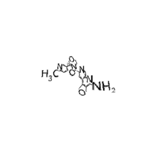 Cc1ccc([C@H]2COCCN2C(=O)c2cc3c4c(c(N)nc3cn2)COC4)cn1